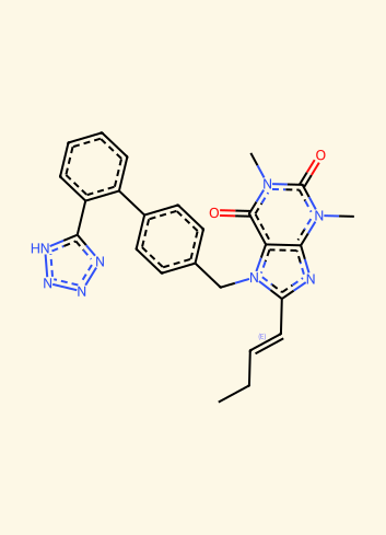 CC/C=C/c1nc2c(c(=O)n(C)c(=O)n2C)n1Cc1ccc(-c2ccccc2-c2nnn[nH]2)cc1